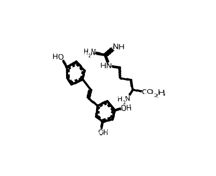 N=C(N)NCCCC(N)C(=O)O.Oc1ccc(/C=C/c2cc(O)cc(O)c2)cc1